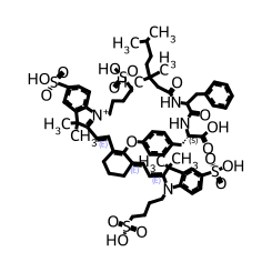 CC(C)CCC(C)(C)CC(=O)NC(Cc1ccccc1)C(=O)N[C@@H](Cc1ccc(OC2=C(/C=C/C3=[N+](CCCCS(=O)(=O)O)c4ccc(S(=O)(=O)O)cc4C3(C)C)CCC/C2=C\C=C2\N(CCCCS(=O)(=O)O)c3ccc(S(=O)(=O)O)cc3C2(C)C)cc1)C(=O)O